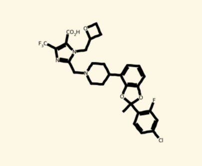 CC1(c2ccc(Cl)cc2F)Oc2cccc(C3CCN(Cc4nc(C(F)(F)F)c(C(=O)O)n4CC4CCO4)CC3)c2O1